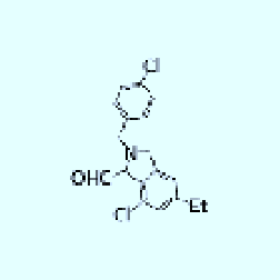 CCc1cc(Cl)c2c(c1)CN(Cc1ccc(Cl)cc1)C2C=O